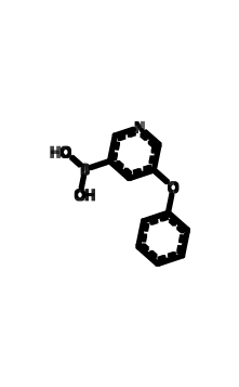 OB(O)c1cncc(Oc2ccccc2)c1